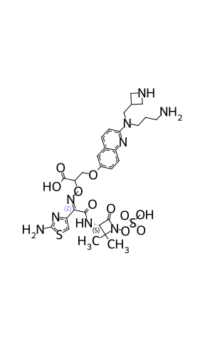 CC1(C)[C@H](NC(=O)/C(=N\OC(COc2ccc3nc(N(CCCN)CC4CNC4)ccc3c2)C(=O)O)c2csc(N)n2)C(=O)N1OS(=O)(=O)O